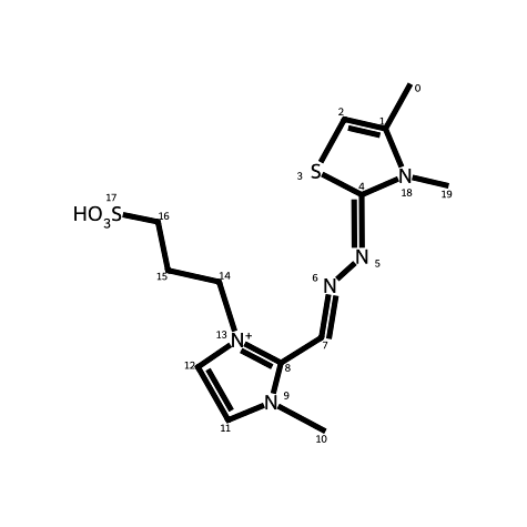 Cc1csc(=NN=Cc2n(C)cc[n+]2CCCS(=O)(=O)O)n1C